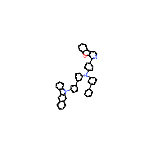 c1ccc(-c2cccc(N(c3ccc(-c4nccc5c4oc4ccccc45)cc3)c3cccc(-c4cccc(-n5c6ccccc6c6cc7ccccc7cc65)c4)c3)c2)cc1